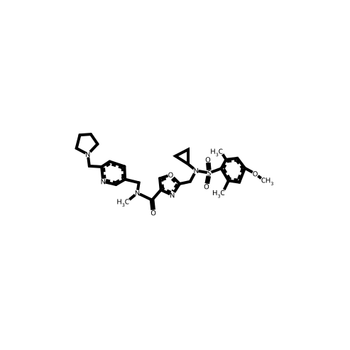 COc1cc(C)c(S(=O)(=O)N(Cc2nc(C(=O)N(C)Cc3ccc(CN4CCCC4)nc3)co2)C2CC2)c(C)c1